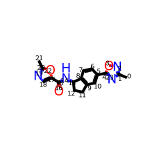 Cc1noc(-c2ccc3c(c2)CCC3NC(=O)c2cnc(C)o2)n1